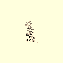 CCn1c(CN[C@@H](C)C(N)=O)nc2ccc(Oc3ccc(F)cc3)cc21